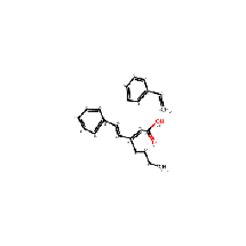 C=Cc1ccccc1.CCCCC(C=Cc1ccccc1)=CC(=O)O